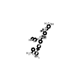 CC(C)c1ccccc1[C@H]1CN(C)CCN1C1CC2(CCN(c3ccc(C(=O)NS(=O)(=O)c4ccc(NCC5CCC(C)(O)CC5)c([N+](=O)[O-])c4)c(Oc4cnc5[nH]ccc5c4)c3)CC2)C1